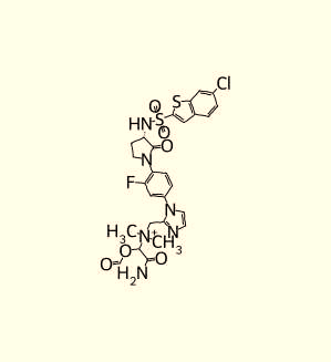 C[N+](C)(Cc1nccn1-c1ccc(N2CC[C@H](NS(=O)(=O)c3cc4ccc(Cl)cc4s3)C2=O)c(F)c1)C(OC=O)C(N)=O